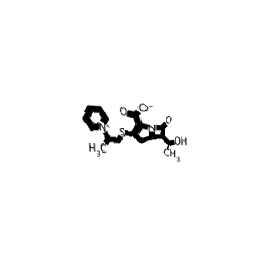 CC(CSC1=C(C(=O)[O-])N2C(=O)C([C@@H](C)O)C2C1)[n+]1ccccc1